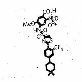 COc1cc(C(=O)O)c(NS(C)(=O)=O)cc1NS(=O)(=O)c1csc(-c2ccc(C3CCC(C)(C)CC3)cc2C(F)(F)F)n1